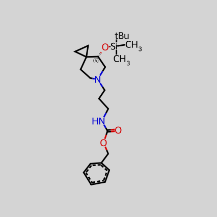 CC(C)(C)[Si](C)(C)O[C@@H]1CN(CCCNC(=O)OCc2ccccc2)CCC12CC2